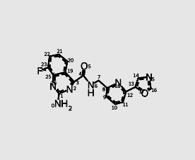 Nc1nc(C(=O)NCc2cccc(-c3cnco3)n2)c2cccc(F)c2n1